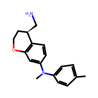 Cc1ccc(N(C)c2ccc3c(c2)OCC[C@H]3CN)cc1